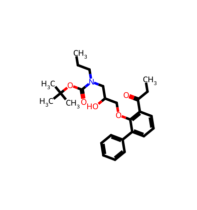 CCCN(CC(O)COc1c(C(=O)CC)cccc1-c1ccccc1)C(=O)OC(C)(C)C